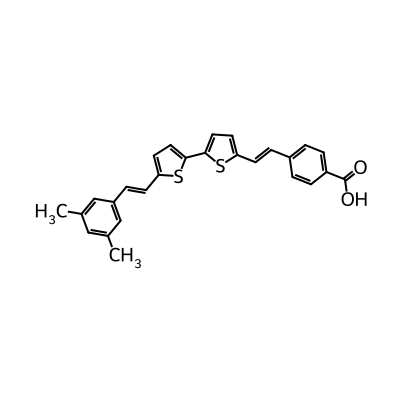 Cc1cc(C)cc(/C=C/c2ccc(-c3ccc(/C=C/c4ccc(C(=O)O)cc4)s3)s2)c1